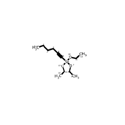 CCCCC#C[Si](OCC)(OCC)OCC